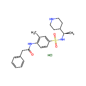 Cc1cc(S(=O)(=O)N[C@H](C)C2CCNCC2)ccc1NC(=O)Cc1ccccc1.Cl